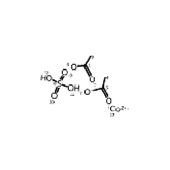 CC(=O)[O-].CC(=O)[O-].O=S(=O)(O)O.[Co+2]